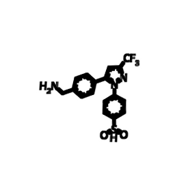 NCc1ccc(-c2cc(C(F)(F)F)nn2-c2ccc([SH](=O)=O)cc2)cc1